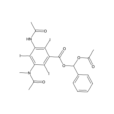 CC(=O)Nc1c(I)c(C(=O)OC(OC(C)=O)c2ccccc2)c(I)c(N(C)C(C)=O)c1I